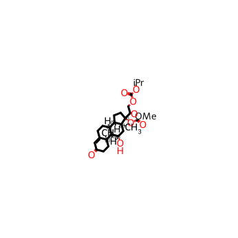 COC(=O)O[C@]1(C(=O)COC(=O)OC(C)C)CC[C@H]2[C@@H]3CCC4=CC(=O)CC[C@]4(C)[C@H]3[C@@H](O)C[C@@]21C